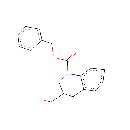 O=C(OCc1ccccc1)N1CC(CO)Cc2ccccc21